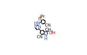 CC(C)Oc1ccc(C#N)cc1Nc1nccc(-c2cc(C#N)c3c(c2)[C@@](C)(CO)CN3)n1